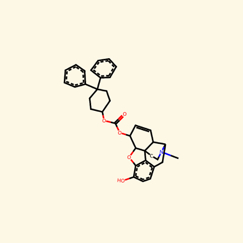 CN1CCC23c4c5ccc(O)c4OC2C(OC(=O)OC2CCC(c4ccccc4)(c4ccccc4)CC2)C=CC3C1C5